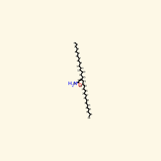 CCCCCCCCCCCCCCCCC(=CC(N)=O)CCCCCCCCCCCCCCCC